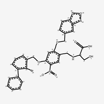 O=C(O)C(CO)NCc1cc([N+](=O)[O-])c(OCc2cccc(-c3ccccc3)c2Br)cc1OCc1ccc2nonc2c1